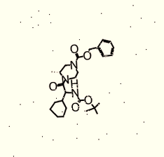 C[C@@H]1CN(C(=O)OCc2ccccc2)CCN1C(=O)C(NC(=O)OC(C)(C)C)C1CCCCC1